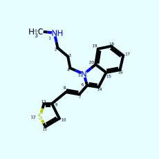 CNCCCn1c(C=Cc2ccsc2)cc2ccccc21